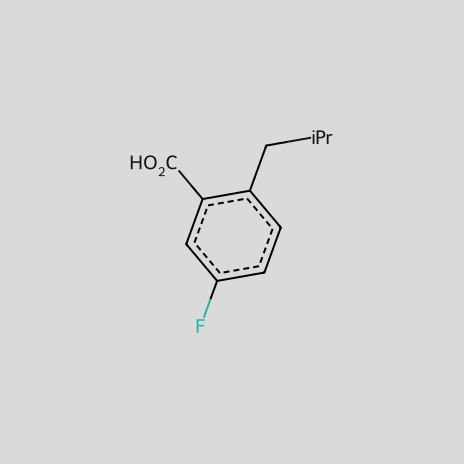 CC(C)Cc1ccc(F)cc1C(=O)O